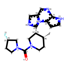 C[C@@H]1CCN(C(=O)N2CC[C@H](F)C2)C[C@@H]1c1ncc2cnc3[nH]ccc3n12